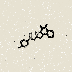 C=c1c2c(c3ccccc3c1=C)CC(CNc1ccc(C)cc1)=N2